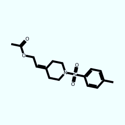 CC(=O)OCC=C1CCN(S(=O)(=O)c2ccc(C)cc2)CC1